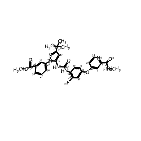 CNC(=O)c1cc(Oc2ccc(NC(=O)Nc3cc(C(C)(C)C)nn3-c3cccc(C(=O)OC)c3)c(F)c2)ccn1